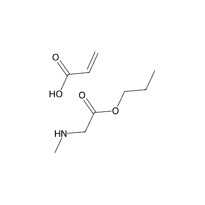 C=CC(=O)O.CCCOC(=O)CNC